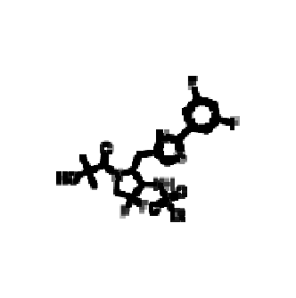 CCS(=O)(=O)NC1C(Cc2csc(-c3cc(F)cc(F)c3)n2)N(C(=O)C(C)(C)O)CC1(F)F